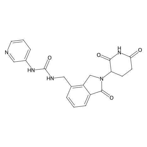 O=C1CCC(N2Cc3c(CNC(=O)Nc4cccnc4)cccc3C2=O)C(=O)N1